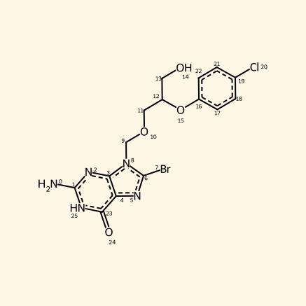 Nc1nc2c(nc(Br)n2COCC(CO)Oc2ccc(Cl)cc2)c(=O)[nH]1